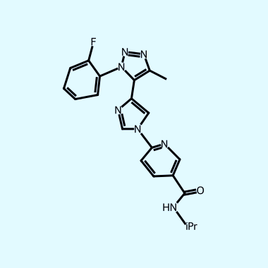 Cc1nnn(-c2ccccc2F)c1-c1cn(-c2ccc(C(=O)NC(C)C)cn2)cn1